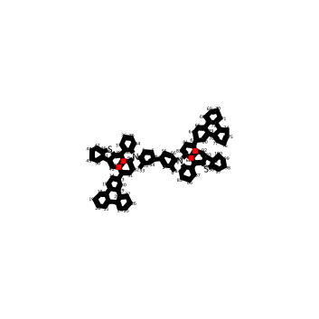 Cc1cc(-c2ccc(N(c3ccc(-c4ccc5c6ccccc6c6ccccc6c5c4)cc3)c3ccccc3-c3cccc4c3sc3ccccc34)c(C)c2)ccc1N(c1ccc(-c2ccc3c4ccccc4c4ccccc4c3c2)cc1)c1ccccc1-c1cccc2c1sc1ccccc12